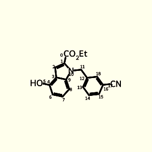 CCOC(=O)c1cc2c(O)cccc2n1Cc1cccc(C#N)c1